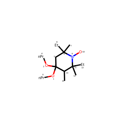 CCCOC1(OCCC)CC(C)(CC)N([O])C(C)(CC)C1C